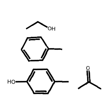 CC(C)=O.CCO.Cc1ccc(O)cc1.Cc1ccccc1